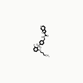 CCCCOc1cccc(F)c1S(=O)(=O)c1ccc(CNC(=O)c2cc3ccncc3o2)cc1